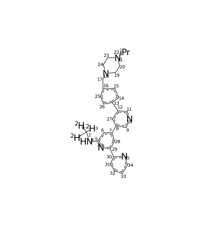 [2H]C([2H])([2H])Nc1cc(-c2cncc(-c3ccc(CN4CCN(C(C)C)CC4)cc3)c2)cc(-c2ccccn2)n1